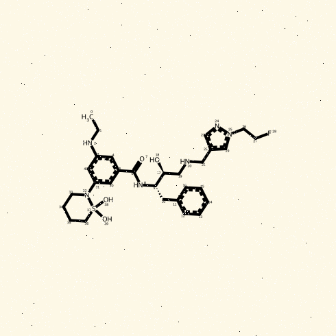 CCNc1cc(C(=O)N[C@@H](Cc2ccccc2)[C@@H](O)CNCc2cnn(CCF)c2)cc(N2CCCCS2(O)O)c1